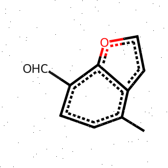 Cc1ccc(C=O)c2occc12